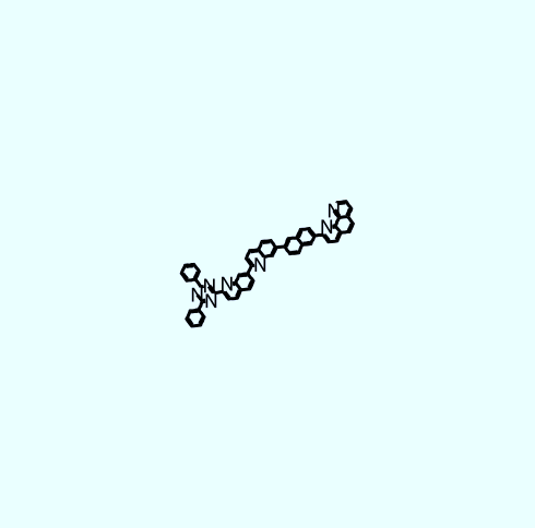 c1ccc(-c2nc(-c3ccccc3)nc(-c3ccc4ccc(-c5ccc6ccc(-c7ccc8cc(-c9ccc%10ccc%11cccnc%11c%10n9)ccc8c7)cc6n5)cc4n3)n2)cc1